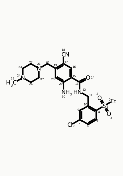 CCS(=O)(=O)c1ccc(Cl)cc1CNC(=O)c1cc(C#N)c(CN2CCN(C)CC2)cc1N